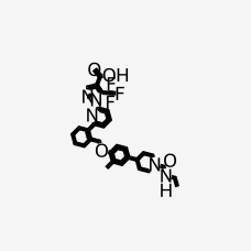 CCNC(=O)N1CCC(c2ccc(OCC3=C(c4cccc(-n5ncc(C(=O)O)c5C(F)(F)F)n4)CCCC3)c(C)c2)CC1